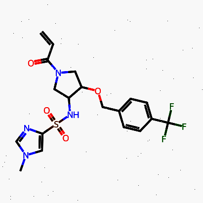 C=CC(=O)N1CC(NS(=O)(=O)c2cn(C)cn2)C(OCc2ccc(C(F)(F)F)cc2)C1